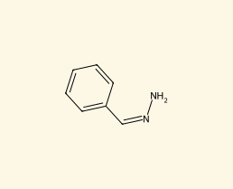 N/N=C\c1ccccc1